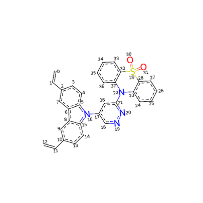 C=Cc1ccc2c(c1)c1cc(C=C)ccc1n2-c1cnnc(N2c3ccccc3S(=O)(=O)c3ccccc32)c1